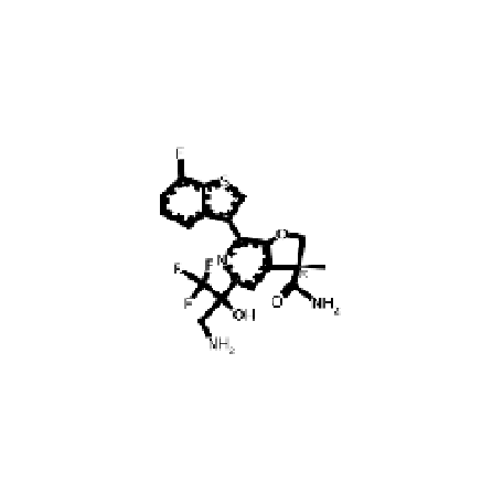 C[C@]1(C(N)=O)COc2c1cc(C(O)(CN)C(F)(F)F)nc2-c1csc2c(F)cccc12